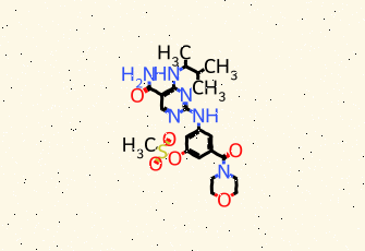 CC(C)C(C)Nc1nc(Nc2cc(OS(C)(=O)=O)cc(C(=O)N3CCOCC3)c2)ncc1C(N)=O